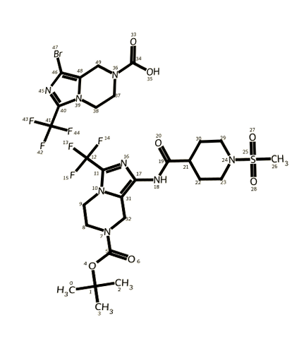 CC(C)(C)OC(=O)N1CCn2c(C(F)(F)F)nc(NC(=O)C3CCN(S(C)(=O)=O)CC3)c2C1.O=C(O)N1CCn2c(C(F)(F)F)nc(Br)c2C1